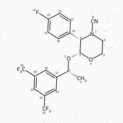 C[C@@H](O[C@H]1OCCN(C#N)[C@H]1c1ccc(F)cc1)c1cc(C(F)(F)F)cc(C(F)(F)F)c1